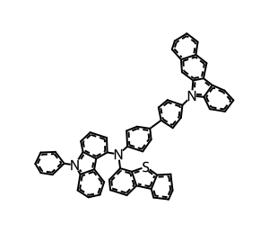 c1ccc(-n2c3ccccc3c3c(N(c4ccc(-c5ccc(-n6c7ccccc7c7cc8ccccc8cc76)cc5)cc4)c4cccc5c4sc4ccccc45)cccc32)cc1